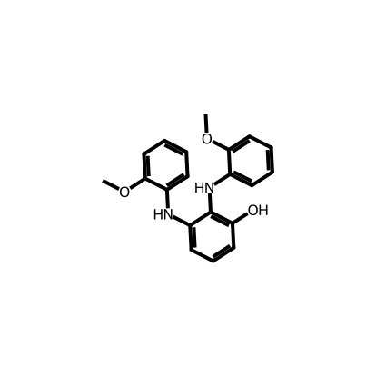 COc1ccccc1Nc1cccc(O)c1Nc1ccccc1OC